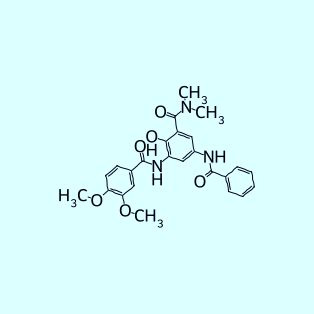 COc1ccc(C(=O)Nc2cc(NC(=O)c3ccccc3)cc(C(=O)N(C)C)c2O)cc1OC